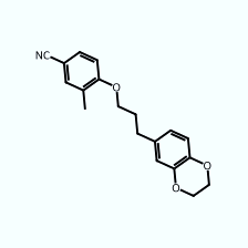 Cc1cc(C#N)ccc1OCCCc1ccc2c(c1)OCCO2